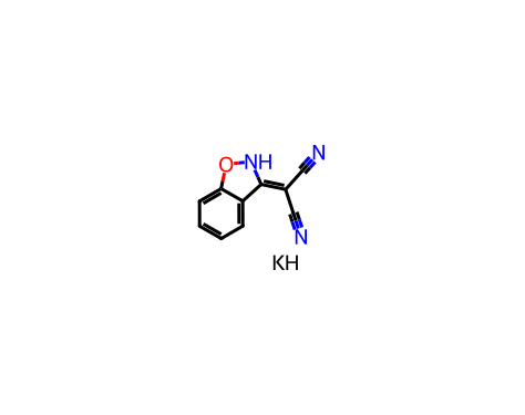 N#CC(C#N)=C1NOc2ccccc21.[KH]